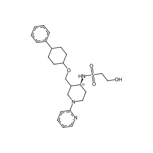 O=S(=O)(CCO)N[C@H]1CCN(c2ccccn2)CC1COC1CCC(c2ccccc2)CC1